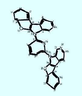 c1cc(-n2c3cnccc3c3c4ccccc4oc32)nc(-n2c3cnccc3c3c4ccccc4oc32)c1